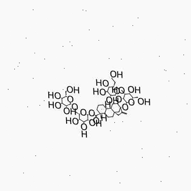 C=C1C[C@@]23CC[C@H]4[C@@](C)(CCC[C@@]4(C)C(=O)O[C@@H]4O[C@H](CO[C@H]5O[C@H](CO)[C@@H](O)[C@H](O)[C@H]5O)[C@@H](O)[C@H](O)[C@H]4O)[C@@H]2CC[C@]1(O[C@@H]1O[C@H](CO)[C@@H](O)[C@H](O)[C@H]1O[C@@H]1O[C@H](CCO)[C@@H](O)[C@H](O)[C@H]1O)C3